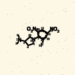 CN(C)C1CCN(c2c(F)cc([N+](=O)[O-])cc2[N+](=O)[O-])C1